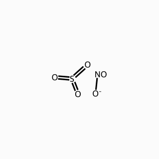 O=S(=O)=O.O=[NH+][O-]